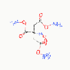 NOC(=O)CC(CC(=O)ON)(N=O)C(=O)ON